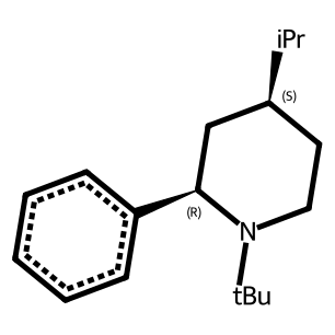 CC(C)[C@H]1CCN(C(C)(C)C)[C@@H](c2ccccc2)C1